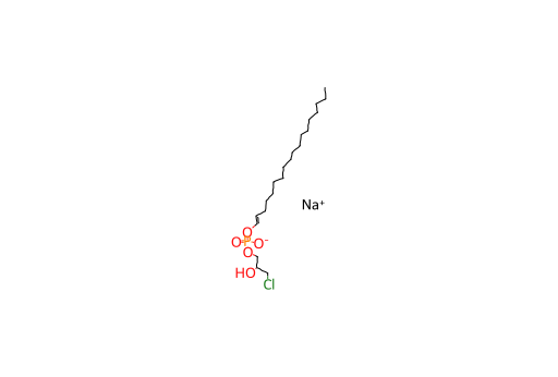 CCCCCCCCCCCCCCCCC=COP(=O)([O-])OCC(O)CCl.[Na+]